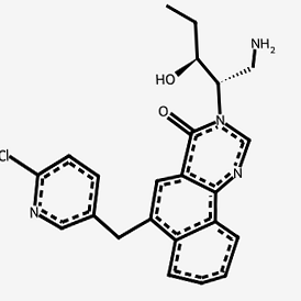 CC[C@H](O)[C@H](CN)n1cnc2c(cc(Cc3ccc(Cl)nc3)c3ccccc32)c1=O